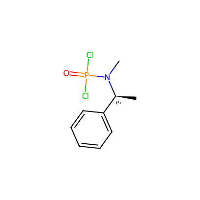 C[C@@H](c1ccccc1)N(C)P(=O)(Cl)Cl